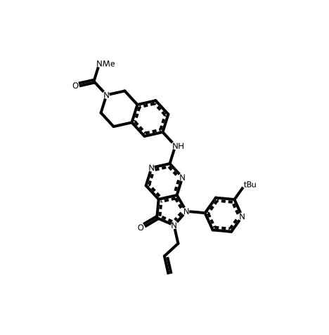 C=CCn1c(=O)c2cnc(Nc3ccc4c(c3)CCN(C(=O)NC)C4)nc2n1-c1ccnc(C(C)(C)C)c1